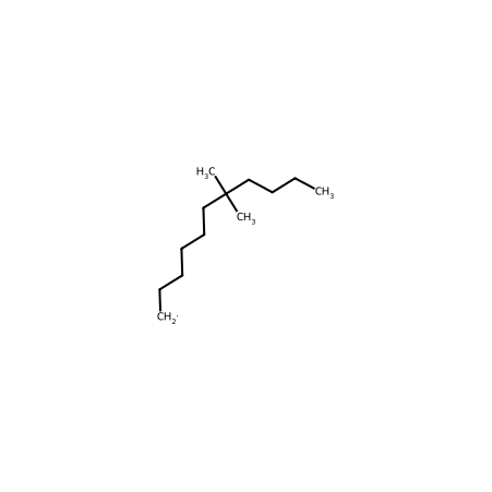 [CH2]CCCCCC(C)(C)CCCC